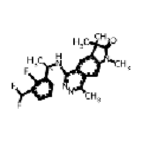 Cc1nnc(N[C@H](C)c2cccc(C(F)F)c2F)c2cc3c(cc12)N(C)C(=O)C3(C)C